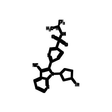 CCC1CCC(n2c(-c3ccc(S(=O)(=O)N[C@H](C)C(F)(F)F)cn3)c(C#N)c3cccnc32)C1